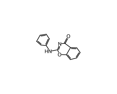 O=c1nc(Nc2ccccc2)oc2ccccc12